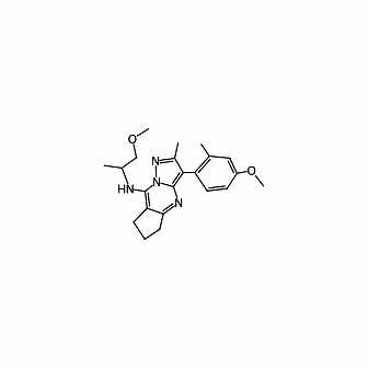 COCC(C)Nc1c2c(nc3c(-c4ccc(OC)cc4C)c(C)nn13)CCC2